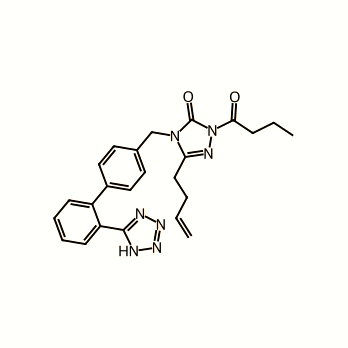 C=CCCc1nn(C(=O)CCC)c(=O)n1Cc1ccc(-c2ccccc2-c2nnn[nH]2)cc1